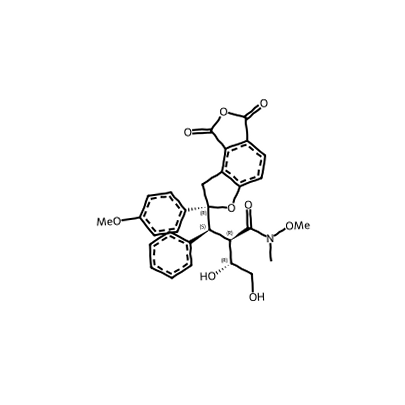 COc1ccc([C@]2([C@H](c3ccccc3)[C@@H](C(=O)N(C)OC)[C@@H](O)CO)Cc3c(ccc4c3C(=O)OC4=O)O2)cc1